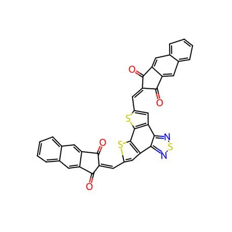 O=C1C(=Cc2cc3c4nsnc4c4cc(C=C5C(=O)c6cc7ccccc7cc6C5=O)sc4c3s2)C(=O)c2cc3ccccc3cc21